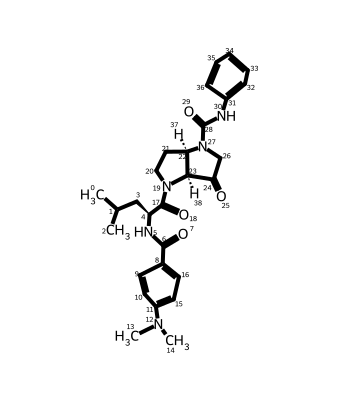 CC(C)C[C@H](NC(=O)c1ccc(N(C)C)cc1)C(=O)N1CC[C@@H]2[C@H]1C(=O)CN2C(=O)Nc1ccccc1